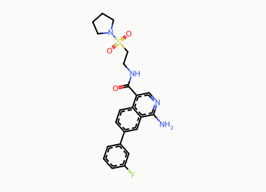 Nc1ncc(C(=O)NCCS(=O)(=O)N2CCCC2)c2ccc(-c3cccc(F)c3)cc12